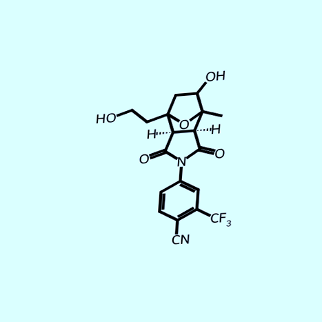 CC12OC(CCO)(CC1O)[C@@H]1C(=O)N(c3ccc(C#N)c(C(F)(F)F)c3)C(=O)[C@@H]12